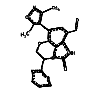 Cc1noc(C)c1-c1cc(C=O)c2[nH]c(=O)n3c2c1OCC3c1ccccn1